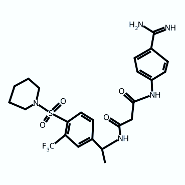 CC(NC(=O)CC(=O)Nc1ccc(C(=N)N)cc1)c1ccc(S(=O)(=O)N2CCCCC2)c(C(F)(F)F)c1